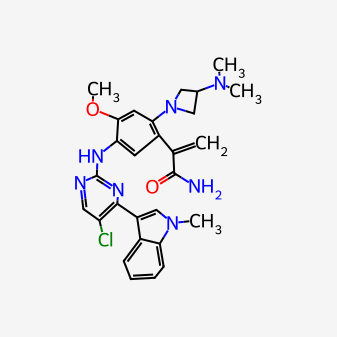 C=C(C(N)=O)c1cc(Nc2ncc(Cl)c(-c3cn(C)c4ccccc34)n2)c(OC)cc1N1CC(N(C)C)C1